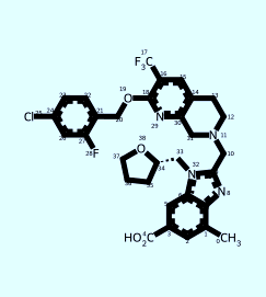 Cc1cc(C(=O)O)cc2c1nc(CN1CCc3cc(C(F)(F)F)c(OCc4ccc(Cl)cc4F)nc3C1)n2C[C@@H]1CCCO1